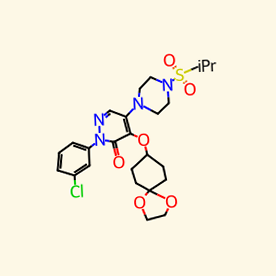 CC(C)S(=O)(=O)N1CCN(c2cnn(-c3cccc(Cl)c3)c(=O)c2OC2CCC3(CC2)OCCO3)CC1